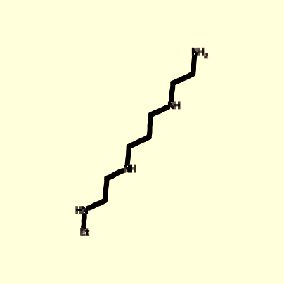 CCNCCNCCCNCCN